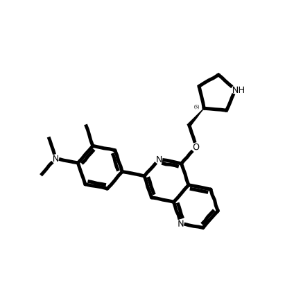 Cc1cc(-c2cc3ncccc3c(OC[C@H]3CCNC3)n2)ccc1N(C)C